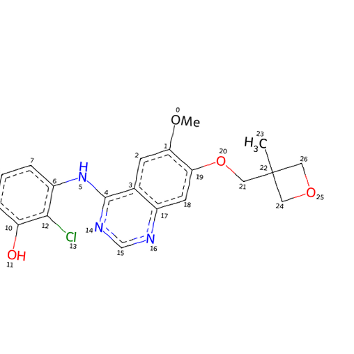 COc1cc2c(Nc3cccc(O)c3Cl)ncnc2cc1OCC1(C)COC1